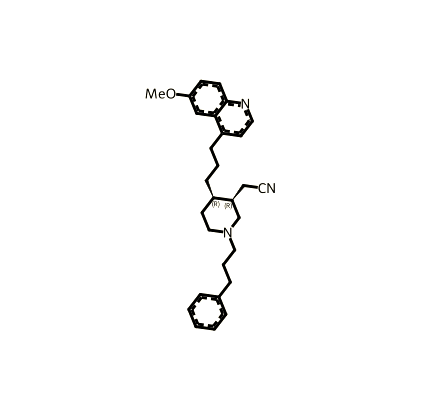 COc1ccc2nccc(CCC[C@@H]3CCN(CCCc4ccccc4)C[C@@H]3CC#N)c2c1